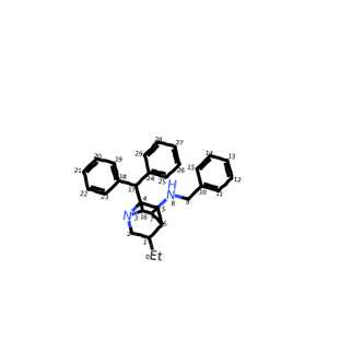 CCC1CN2CCC1C(NCc1ccccc1)C2C(c1ccccc1)c1ccccc1